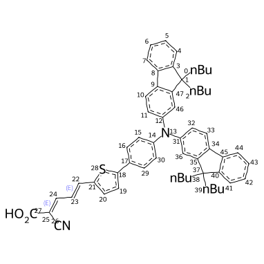 CCCCC1(CCCC)c2ccccc2-c2ccc(N(c3ccc(-c4ccc(/C=C/C=C(\C#N)C(=O)O)s4)cc3)c3ccc4c(c3)C(CCCC)(CCCC)c3ccccc3-4)cc21